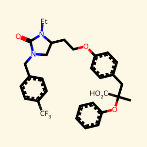 CCN1C(=O)N(Cc2ccc(C(F)(F)F)cc2)CC1CCOc1ccc(CC(C)(Oc2ccccc2)C(=O)O)cc1